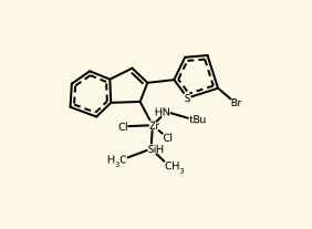 C[SiH](C)[Zr]([Cl])([Cl])([NH]C(C)(C)C)[CH]1C(c2ccc(Br)s2)=Cc2ccccc21